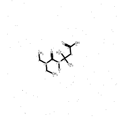 CCN(CC)C(=O)[S+]([O-])C(C)(C)CC(=O)O